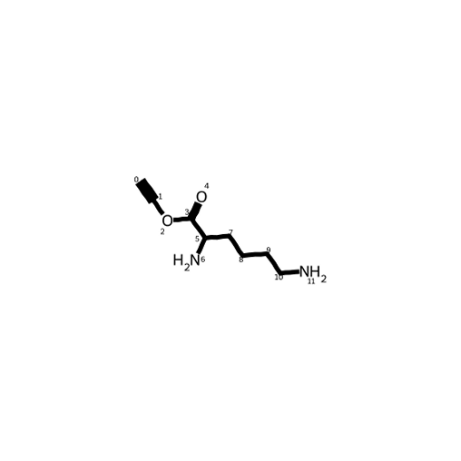 C#COC(=O)C(N)CCCCN